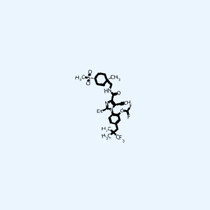 C#Cc1c(C(=O)NC[C@]2(C)CC[C@@H](S(C)(=O)=O)CC2)nc(CC)n1-c1ccc(CC(C)(C)C(F)(F)F)cc1OC(F)F